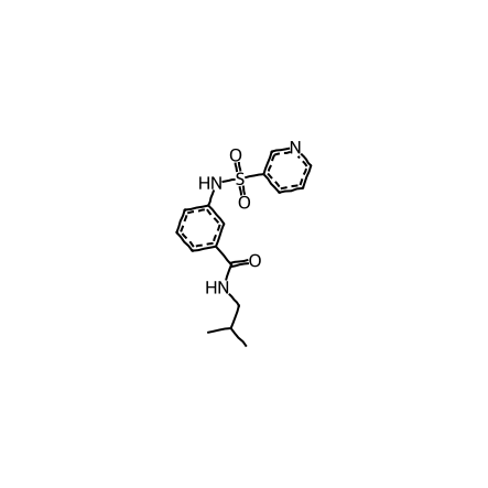 CC(C)CNC(=O)c1cccc(NS(=O)(=O)c2cccnc2)c1